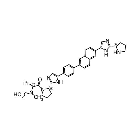 CC(C)[C@@H](C(=O)N1CCC[C@H]1c1ncc(-c2ccc(-c3ccc4cc(-c5cnc([C@@H]6CCCN6)[nH]5)ccc4c3)cc2)[nH]1)N(C)C(=O)O